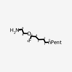 CCCCCCCCCC(F)OCCN